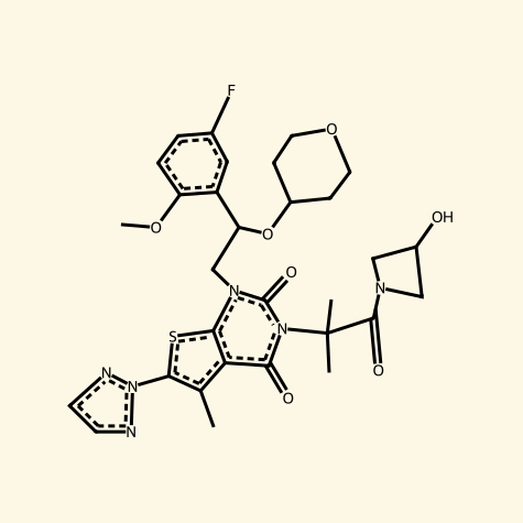 COc1ccc(F)cc1C(Cn1c(=O)n(C(C)(C)C(=O)N2CC(O)C2)c(=O)c2c(C)c(-n3nccn3)sc21)OC1CCOCC1